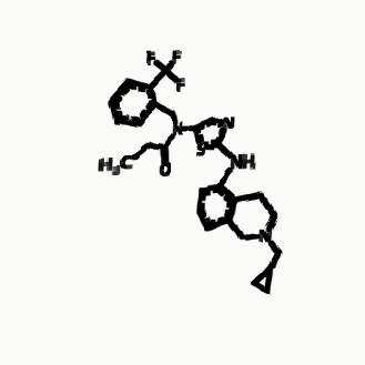 CCC(=O)N(Cc1ccccc1C(F)(F)F)c1cnc(Nc2cccc3c2CCN(CC2CC2)C3)s1